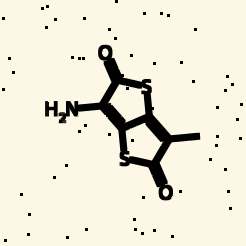 CC1=C2SC(=O)C(N)=C2SC1=O